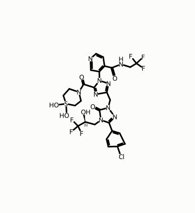 O=C(NCC(F)(F)F)c1ccncc1-n1nc(Cn2nc(-c3ccc(Cl)cc3)n(C[C@H](O)C(F)(F)F)c2=O)nc1C(=O)N1CCS(O)(O)CC1